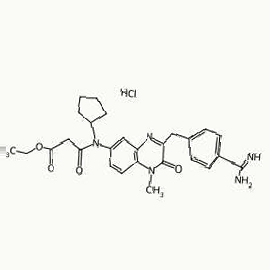 CCOC(=O)CC(=O)N(c1ccc2c(c1)nc(Cc1ccc(C(=N)N)cc1)c(=O)n2C)C1CCCC1.Cl